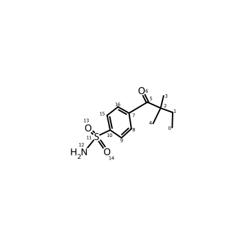 CCC(C)(C)C(=O)c1ccc(S(N)(=O)=O)cc1